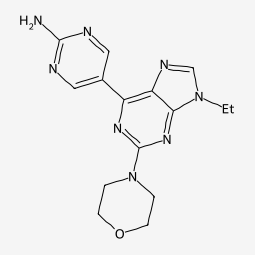 [CH2]Cn1cnc2c(-c3cnc(N)nc3)nc(N3CCOCC3)nc21